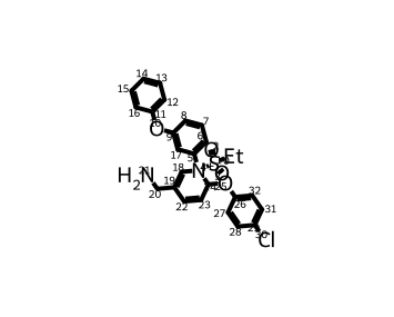 CCS(=O)(=O)[N+]1(c2cccc(Oc3ccccc3)c2)C=C(CN)C=CC1Oc1ccc(Cl)cc1